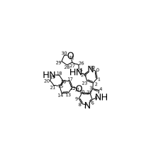 c1cc(-c2c[nH]c3nccc(Oc4ccc5c(c4)CNCC5)c23)cc(NCC2CCCO2)n1